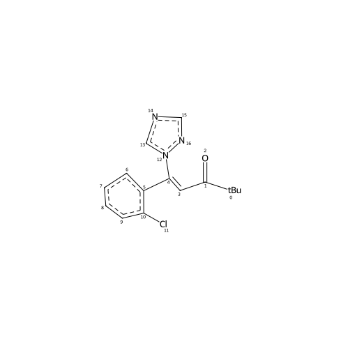 CC(C)(C)C(=O)C=C(c1ccccc1Cl)n1cncn1